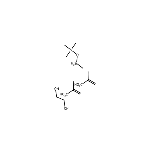 C=C(C)C(=O)O.C=C(C)C(=O)O.C[SiH2]O[Si](C)(C)C.OCCO